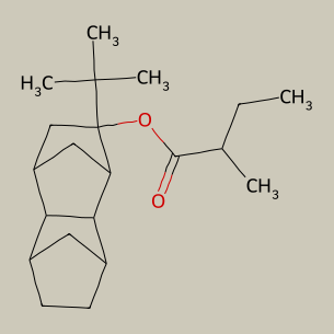 CCC(C)C(=O)OC1(C(C)(C)C)CC2CC1C1C3CCC(C3)C21